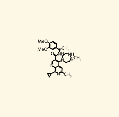 COc1ccc([C@H](C)NC(=O)c2cnc3c(C4CC4)nc(C)cc3c2N2CCN[C@H](C)CC2)cc1OC